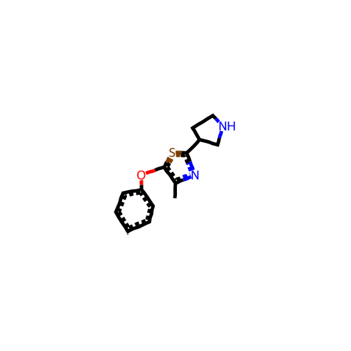 Cc1nc(C2CCNC2)sc1Oc1cc[c]cc1